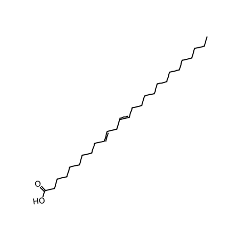 CCCCCCCCCCCCCC=CCC=CCCCCCCCCC(=O)O